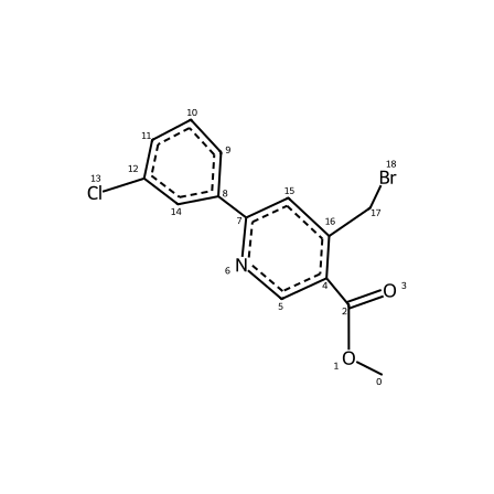 COC(=O)c1cnc(-c2cccc(Cl)c2)cc1CBr